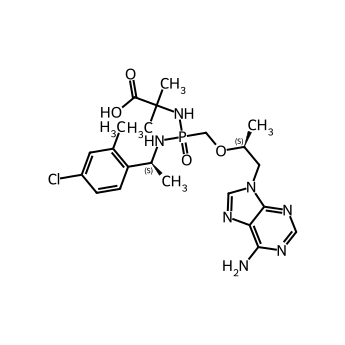 Cc1cc(Cl)ccc1[C@H](C)NP(=O)(CO[C@@H](C)Cn1cnc2c(N)ncnc21)NC(C)(C)C(=O)O